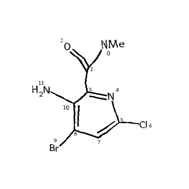 CNC(=O)c1nc(Cl)cc(Br)c1N